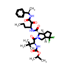 CCCC(NC(=O)[C@@H]1[C@H]2CCC(F)(F)[C@H]2CN1C(=O)[C@@H](NC(=O)OC(C)C)C(C)(C)C)C(=O)C(=O)N[C@H](C)c1ccccc1